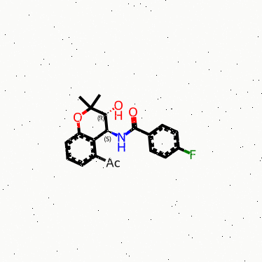 CC(=O)c1cccc2c1[C@H](NC(=O)c1ccc(F)cc1)[C@@H](O)C(C)(C)O2